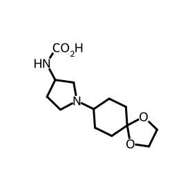 O=C(O)NC1CCN(C2CCC3(CC2)OCCO3)C1